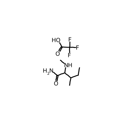 CCC(C)C(NC)C(N)=O.O=C(O)C(F)(F)F